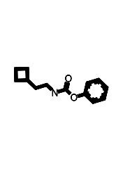 O=C([N]CCC1CCC1)Oc1ccccc1